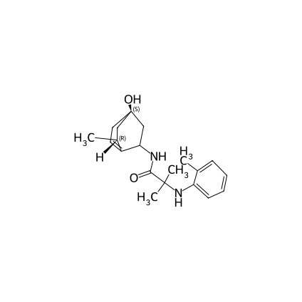 Cc1ccccc1NC(C)(C)C(=O)NC1C[C@@]2(O)CC=C1[C@H](C)C2